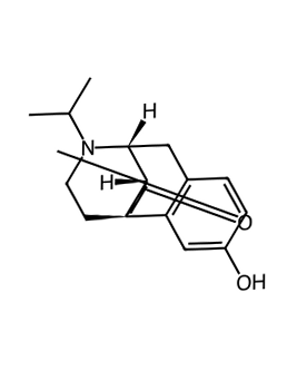 CC(C)N1CC[C@]23CCC(=O)C[C@H]2[C@H]1Cc1ccc(O)cc13